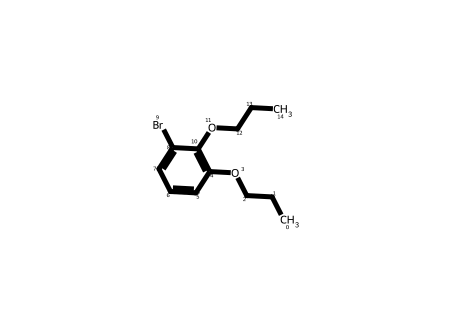 CCCOc1[c]ccc(Br)c1OCCC